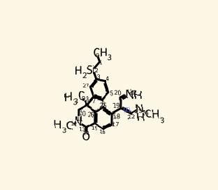 CC[SiH2]c1cccc(C2(C)CN(C)C(=O)c3ccc(/C(C=N)=C/NC)cc32)c1